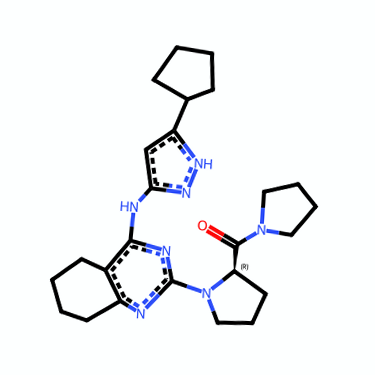 O=C([C@H]1CCCN1c1nc2c(c(Nc3cc(C4CCCC4)[nH]n3)n1)CCCC2)N1CCCC1